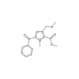 COCc1cc(C(=O)c2ccccc2)n(C)c1C(=O)OC